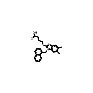 Cc1cc2nc(SCCCC(=O)O)n(Cc3cccc4ccccc34)c2cc1C